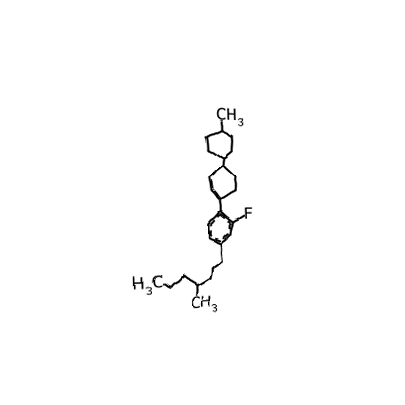 CCCC(C)CCCc1ccc(C2CCC(C3CCC(C)CC3)CC2)c(F)c1